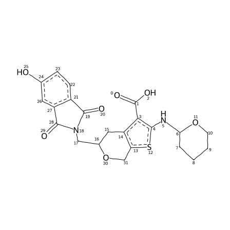 O=C(O)c1c(NC2CCCCO2)sc2c1CC(CN1C(=O)c3ccc(O)cc3C1=O)OC2